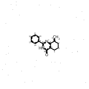 C=C1CCCc2c1nc(-c1ccccc1)[nH]c2=O